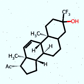 CC(=O)[C@H]1CC[C@H]2[C@@H]3CCC4CC(O)(C(F)(F)F)CC[C@]4(C)[C@H]3C=C[C@]12C